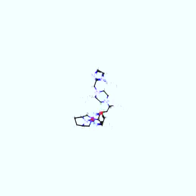 CC(CCC(C)N1CCN(Cc2nccn2C)[C@H](C)C1)N1CC2CCC(C1)N2c1ncccn1